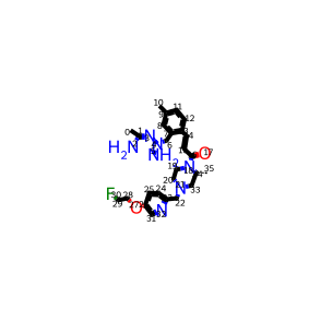 C/C(N)=N/N(N)Cc1cc(C)ccc1/C=C/C(=O)N1CCN(Cc2ccc(OCCF)cn2)C[C@H]1C